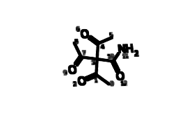 CC(=O)C(C(C)=O)(C(C)=O)C(N)=O